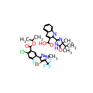 CC(C)C1(C)N=C(c2nc3ccccc3cc2C(=O)O)NC1=O.CC(C)OC(=O)c1cc(-c2nn(C)c(C(F)(F)F)c2Br)c(F)cc1Cl